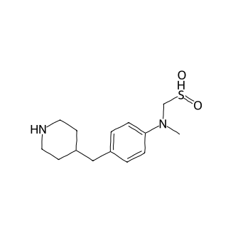 CN(C[SH](=O)=O)c1ccc(CC2CCNCC2)cc1